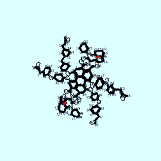 O=C1c2cc(Oc3ccc(Cc4cccc(CC5CO5)c4)cc3)c3c4c(Oc5ccc(Oc6cccc(CC7CO7)c6)cc5)cc5c6c(cc(Oc7ccc(Oc8cccc(CC9CO9)c8)cc7)c(c7c(Oc8ccc(Oc9cccc(CC%10CO%10)c9)cc8)cc(c2c37)C(=O)N1C(C(=O)N(C1CCCCC1)C1CCCCC1)c1ccco1)c64)C(=O)N(C(C(=O)N(C1CCCCC1)C1CCCCC1)c1ccco1)C5=O